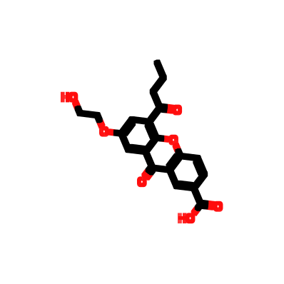 CCCC(=O)c1cc(OCCO)cc2c(=O)c3cc(C(=O)O)ccc3oc12